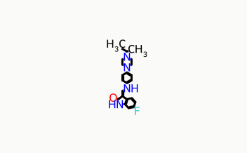 CCC(C)N1CCN(c2ccc(N/C=C3/C(=O)Nc4cc(F)ccc43)cc2)CC1